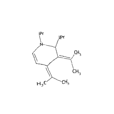 CC(C)=C1C=CN(C(C)C)C(C(C)C)C1=C(C)C